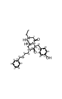 CCN1CC(=O)N2[C@H](CN(CCSCc3ccccc3)C(=O)[C@@H]2Cc2ccc(O)cc2)N1